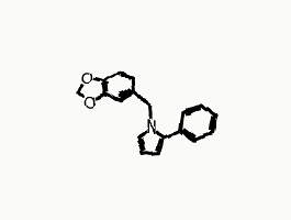 c1ccc(-c2cccn2Cc2ccc3c(c2)OCO3)cc1